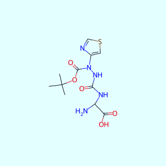 CC(C)(C)OC(=O)N(NC(=O)NC(N)C(=O)O)c1cscn1